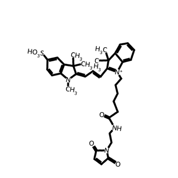 CN1/C(=C/C=C/C2=[N+](CCCCCC(=O)NCCN3C(=O)C=CC3=O)c3ccccc3C2(C)C)C(C)(C)c2cc(S(=O)(=O)O)ccc21